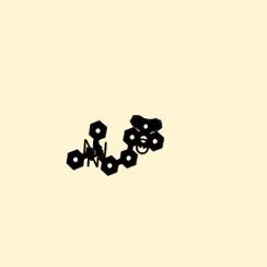 c1ccc(-c2nc(-c3ccccc3)nc(-c3cccc(-c4cccc(-c5cccc6c5Oc5ccccc5C65c6ccccc6-c6ccccc65)c4)c3)n2)cc1